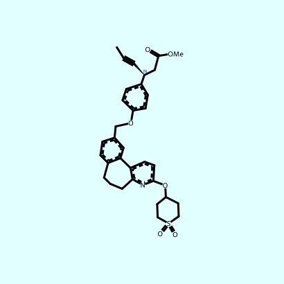 CC#C[C@@H](CC(=O)OC)c1ccc(OCc2ccc3c(c2)-c2ccc(OC4CCS(=O)(=O)CC4)nc2CCC3)cc1